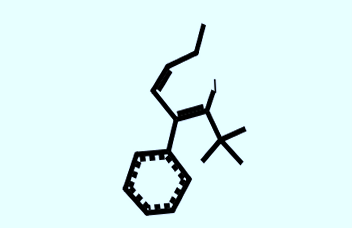 CC/C=C\C(=C(/I)C(C)(C)C)c1ccccc1